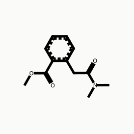 COC(=O)c1ccccc1CC(=O)N(C)C